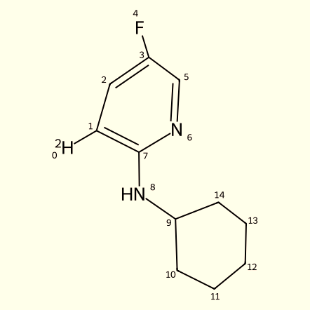 [2H]c1cc(F)cnc1NC1CCCCC1